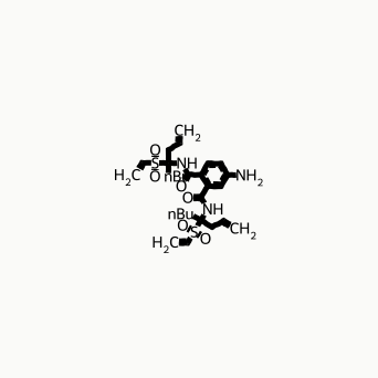 C=CCC(CCCC)(NC(=O)c1ccc(N)cc1C(=O)NC(CC=C)(CCCC)S(=O)(=O)C=C)S(=O)(=O)C=C